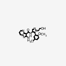 COc1ccc(Cl)cc1-c1c(NC(=O)c2c(N)nn3cccnc23)cnn1CCO